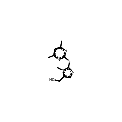 Cc1cc(C)nc(Sc2ncc(CO)n2C)n1